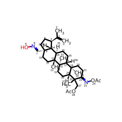 C=C(C)[C@@H]1CC[C@]2(/C=N/O)CC[C@]3(C)[C@H](CC[C@@H]4[C@@]5(C)CCC(=NOC(C)=O)C(C)(COC(C)=O)[C@@H]5CC[C@]43C)[C@@H]12